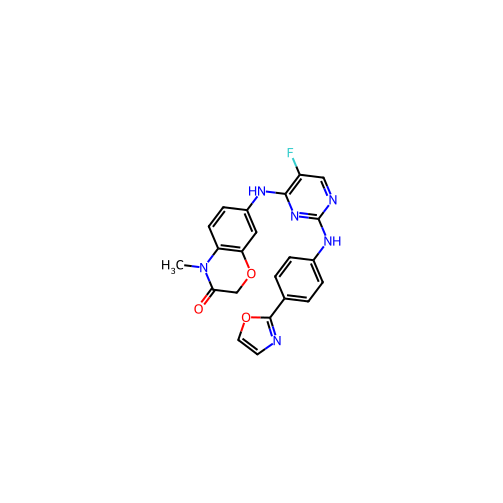 CN1C(=O)COc2cc(Nc3nc(Nc4ccc(-c5ncco5)cc4)ncc3F)ccc21